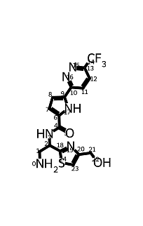 NCC(NC(=O)c1ccc(-c2ccc(C(F)(F)F)nn2)[nH]1)c1nc(CO)cs1